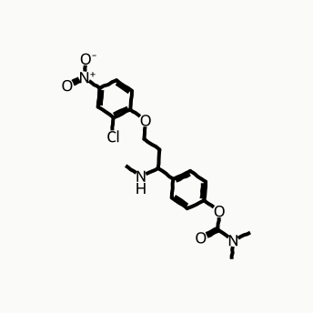 CNC(CCOc1ccc([N+](=O)[O-])cc1Cl)c1ccc(OC(=O)N(C)C)cc1